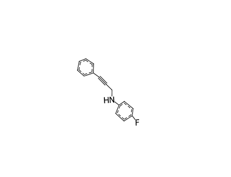 Fc1ccc(NCC#Cc2ccccc2)cc1